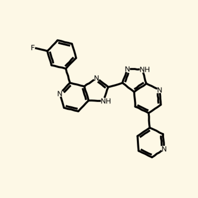 Fc1cccc(-c2nccc3[nH]c(-c4n[nH]c5ncc(-c6cccnc6)cc45)nc23)c1